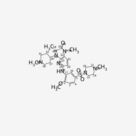 COc1ccc(S(=O)(=O)N2CCN(C)CC2)cc1Nc1ccc2c(n1)N(C1CCN(C)CC1)[C@H](C)C(=O)N2C